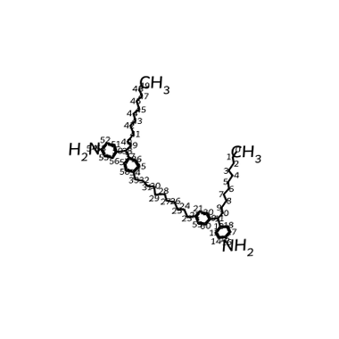 CCCCCCCCCCCC(c1ccc(N)cc1)c1ccc(CCCCCCCCCCCc2ccc(C(CCCCCCCCCCC)c3ccc(N)cc3)cc2)cc1